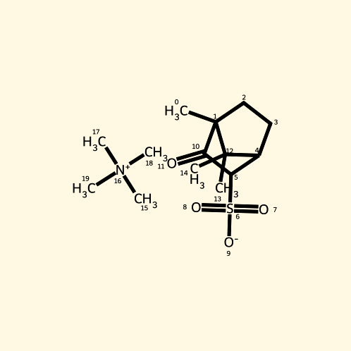 CC12CCC(C(S(=O)(=O)[O-])C1=O)C2(C)C.C[N+](C)(C)C